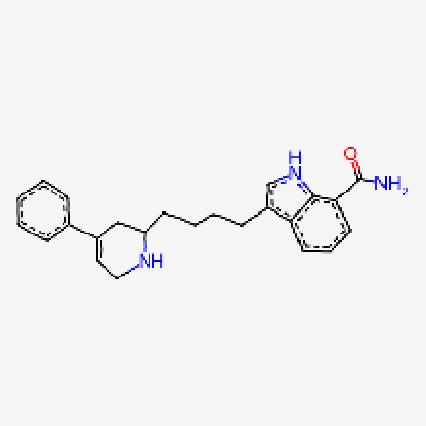 NC(=O)c1cccc2c(CCCCC3CC(c4ccccc4)=CCN3)c[nH]c12